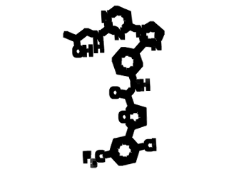 CC(O)CNc1nccc(-n2ccnc2-c2cccc(NC(=O)c3ccc(-c4cc(C(F)(F)F)ccc4Cl)o3)c2)n1